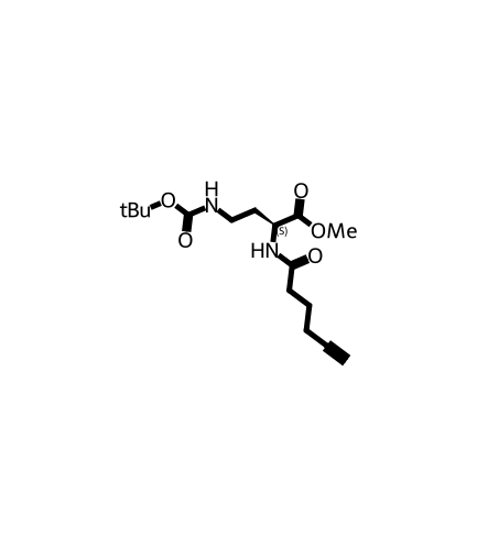 C#CCCCC(=O)N[C@@H](CCNC(=O)OC(C)(C)C)C(=O)OC